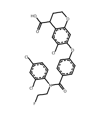 O=C(O)C1CCOc2cc(Oc3ccc(C(=O)N(CCF)c4ccc(Cl)cc4Cl)cc3)c(Cl)cc21